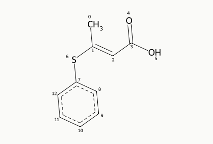 CC(=CC(=O)O)Sc1ccccc1